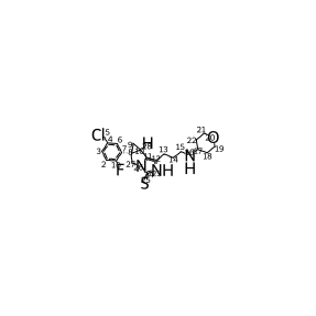 Fc1ccc(Cl)cc1[C@]12C[C@H]1c1c(CCCNC3CCOCC3)[nH]c(=S)n1C2